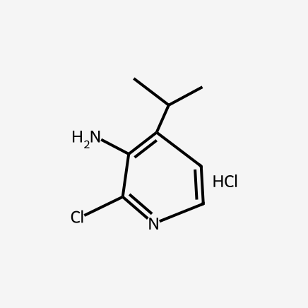 CC(C)c1ccnc(Cl)c1N.Cl